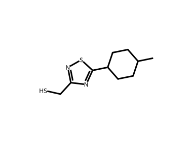 CC1CCC(c2nc(CS)ns2)CC1